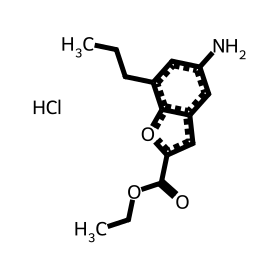 CCCc1cc(N)cc2cc(C(=O)OCC)oc12.Cl